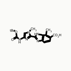 Cc1c(C(=O)O)ccc2nc(-c3nc(NC(=O)OC(C)(C)C)cn3C)[nH]c12